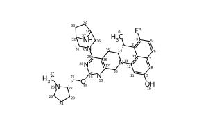 CCc1c(F)ccc2cc(O)cc(N3CCc4c(nc(OC[C@@H]5CCCN5C)nc4N4CC5CCC(C4)N5)C3)c12